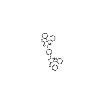 O=C1OC(c2ccc(C3NC(c4ccccc4)(c4ccccc4)C(=O)O3)cc2)NC1(c1ccccc1)c1ccccc1